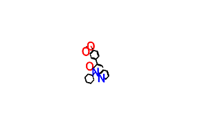 C/C=C(\C(=O)N(c1ccccn1)C1CCCCC1)c1ccc2c(c1)OCO2